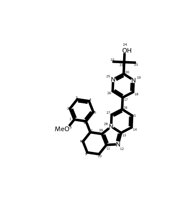 COc1ccccc1C1CCCc2nc3ccc(-c4cnc(C(C)(C)O)nc4)cn3c21